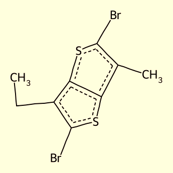 CCc1c(Br)sc2c(C)c(Br)sc12